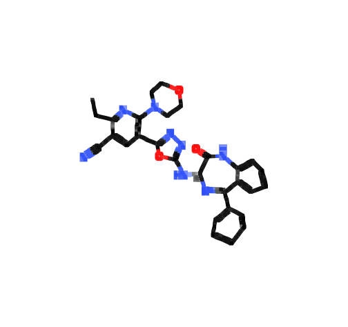 CCc1nc(N2CCOCC2)c(-c2nnc(N[C@H]3N=C(c4ccccc4)c4ccccc4NC3=O)o2)cc1C#N